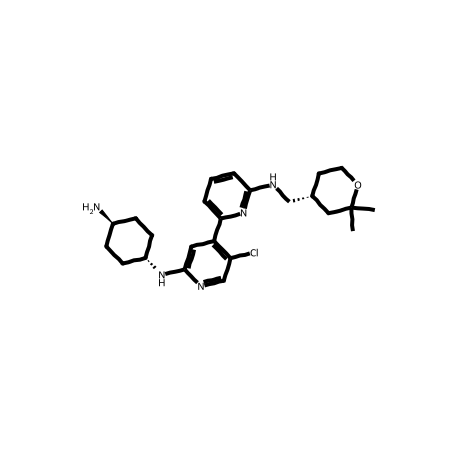 CC1(C)C[C@H](CNc2cccc(-c3cc(N[C@H]4CC[C@H](N)CC4)ncc3Cl)n2)CCO1